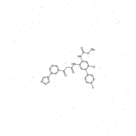 CC(C)(C)OC(=O)Nc1cc(Cl)c(-c2ccc(F)cc2)cc1NC(=O)CC(=O)c1cccc(-n2ccnc2)c1